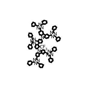 FC(F)(F)c1c(-c2ccc(-n3c4ccc(-c5nc(-c6ccccc6)nc(-c6ccccc6)n5)cc4c4cc(-c5nc(-c6ccccc6)nc(-c6ccccc6)n5)ccc43)cc2-c2nc(-c3ccccc3)nc(-c3ccccc3)n2)cccc1-n1c2ccc(-c3nc(-c4ccccc4)nc(-c4ccccc4)n3)cc2c2cc(-c3nc(-c4ccccc4)nc(-c4ccccc4)n3)ccc21